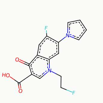 O=C(O)c1cn(CCF)c2cc(-n3cccc3)c(F)cc2c1=O